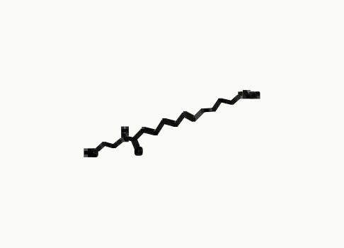 CCCCCCCCCCCCCC=CC=CC=CC(=O)NCCO